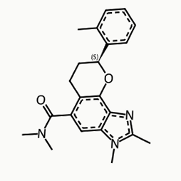 Cc1ccccc1[C@@H]1CCc2c(C(=O)N(C)C)cc3c(nc(C)n3C)c2O1